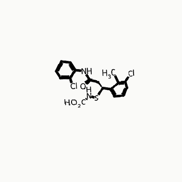 Cc1c(Cl)cccc1[C@H](CC(=O)Nc1ccccc1Cl)SNC(=O)O